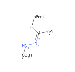 CCCCCC/C(CCC)=N\NC(=O)O